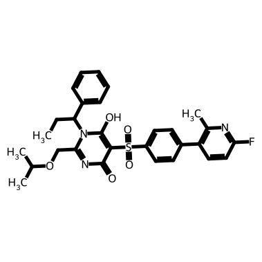 CCC(c1ccccc1)n1c(COC(C)C)nc(=O)c(S(=O)(=O)c2ccc(-c3ccc(F)nc3C)cc2)c1O